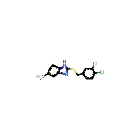 O=[N+]([O-])c1ccc2[nH]c(SCc3ccc(Cl)c(Cl)c3)nc2c1